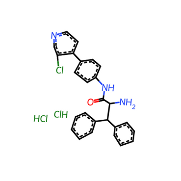 Cl.Cl.NC(C(=O)Nc1ccc(-c2ccncc2Cl)cc1)C(c1ccccc1)c1ccccc1